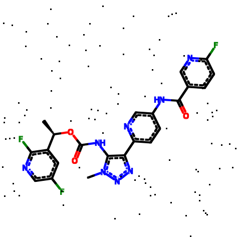 C[C@@H](OC(=O)Nc1c(-c2ccc(NC(=O)c3ccc(F)nc3)cn2)nnn1C)c1cc(F)cnc1F